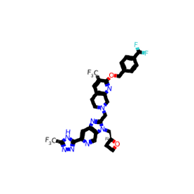 FC(F)c1ccc(COc2nc3c(cc2C(F)(F)F)CCN(Cc2nc4cc(-c5nnc(C(F)(F)F)[nH]5)ncc4n2C[C@@H]2CCO2)C3)cc1